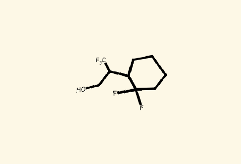 OCC(C1CCCCC1(F)F)C(F)(F)F